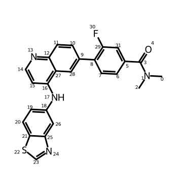 CN(C)C(=O)c1ccc(-c2ccc3nccc(Nc4ccc5scnc5c4)c3c2)c(F)c1